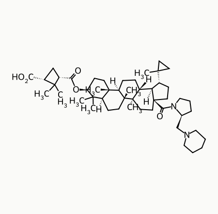 CC1([C@@H]2CC[C@]3(C(=O)N4CCC[C@H]4CN4CCCCC4)CC[C@]4(C)[C@H](CC[C@@H]5[C@@]6(C)CC[C@H](OC(=O)[C@H]7C[C@@H](C(=O)O)C7(C)C)C(C)(C)[C@@H]6CC[C@]54C)[C@@H]23)CC1